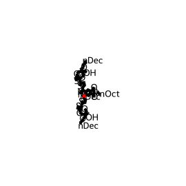 CCCCCCCCCCCCOCC1(CO)COc2csc(-c3ccc(-c4nnc(-c5ccc(-c6scc7c6OCC(CO)(COCCCCCCCCCCCC)CO7)s5)c5cc6c(cc45)C(=O)N(CC(CCCCCCCC)CCCCCCCCCC)C6=O)s3)c2OC1